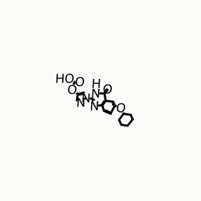 O=C(O)Oc1cnn(-c2nc3ccc(OC4CCCCC4)cc3c(=O)[nH]2)c1